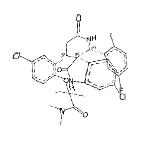 Cc1ccc(F)cc1[C@H]1NC(=O)C[C@@H](c2cc(Cl)ccc2OC(C)(C)C(=O)N(C)C)[C@]12C(=O)Nc1cc(Cl)ccc12